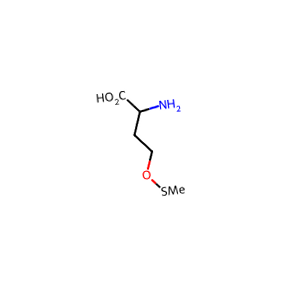 CSOCCC(N)C(=O)O